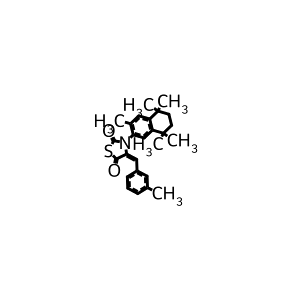 Cc1cccc(C=C2C(=O)SC(=O)N2c2cc3c(cc2C)C(C)(C)CCC3(C)C)c1